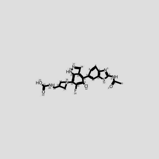 CC(=O)Nc1nc2ccc(-c3c(Cl)c(F)c(N4CC(CNC(=O)O)C4)c4[nH]ncc34)cc2s1